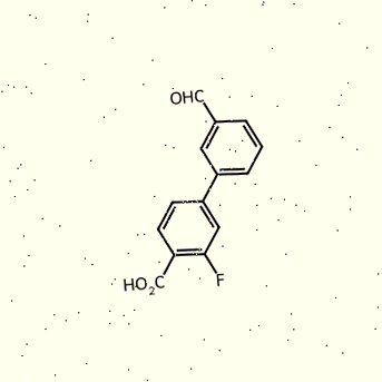 O=Cc1cccc(-c2ccc(C(=O)O)c(F)c2)c1